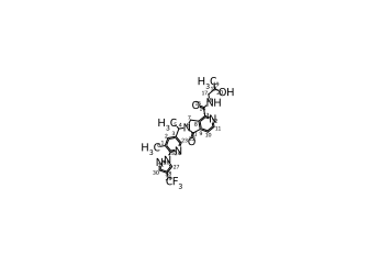 Cc1cc(C(C)N2Cc3c(ccnc3C(=O)NCC(C)O)C2=O)cnc1-n1cc(C(F)(F)F)cn1